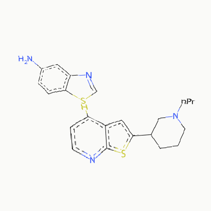 CCCN1CCCC(c2cc3c([SH]4C=Nc5cc(N)ccc54)ccnc3s2)C1